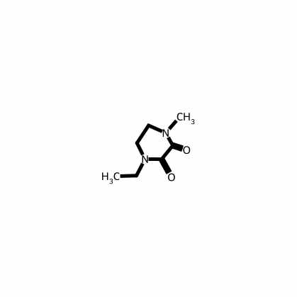 CCN1CCN(C)C(=O)C1=O